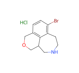 Brc1ccc2c3c1CCNCC3COC2.Cl